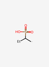 [CH2]C(CC)S(=O)(=O)O